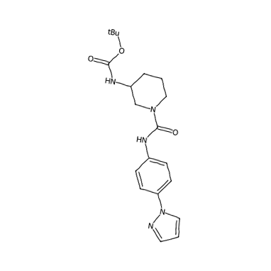 CC(C)(C)OC(=O)NC1CCCN(C(=O)Nc2ccc(-n3cccn3)cc2)C1